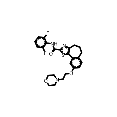 O=C(Nc1c(F)cccc1F)c1nc2c(s1)-c1cc(OCCN3CCOCC3)ccc1CCC2